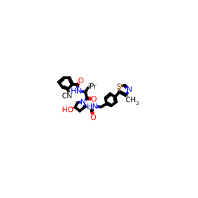 Cc1ncsc1-c1ccc(CNC(=O)[C@@H]2C[C@@H](O)CN2C(=O)C(NC(=O)c2ccccc2C#N)C(C)C)cc1